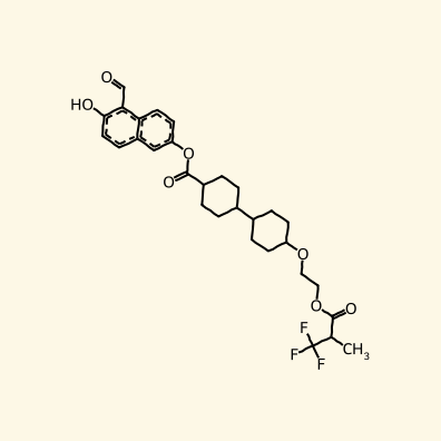 CC(C(=O)OCCOC1CCC(C2CCC(C(=O)Oc3ccc4c(C=O)c(O)ccc4c3)CC2)CC1)C(F)(F)F